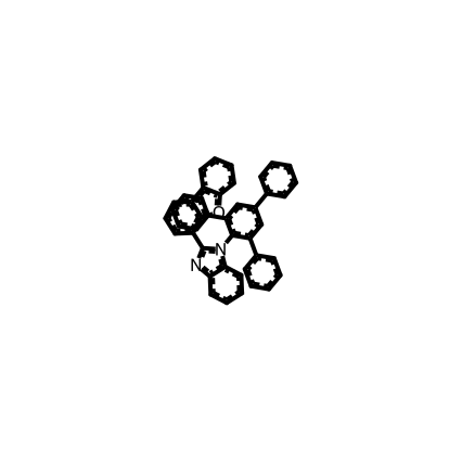 c1ccc(-c2cc(-c3ccccc3)c(-n3c(-c4cccc5c4oc4ccccc45)nc4ccccc43)c(-c3ccccc3)c2)cc1